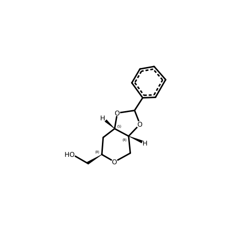 OC[C@H]1C[C@@H]2OC(c3ccccc3)O[C@@H]2CO1